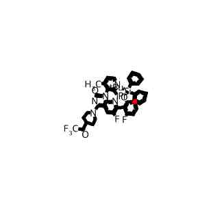 Cc1ccnc(C(C)C)c1-n1c(=O)nc(N2CCC(C(=O)C(F)(F)F)CC2)c2cc(F)c(-c3c(F)cccc3O[Si](c3ccccc3)(c3ccccc3)C(C)(C)C)nc21